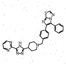 c1ccc(-c2c(-c3ccc(CN4CCC(c5nnc(-c6ncccn6)[nH]5)CC4)cc3)nc3scnn23)cc1